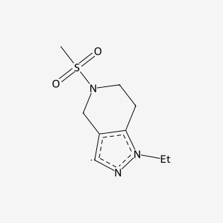 CCn1n[c]c2c1CCN(S(C)(=O)=O)C2